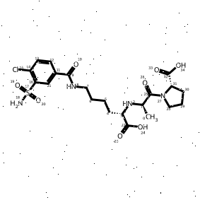 C[C@@H](N[C@@H](CCCCNC(=O)c1ccc(Cl)c(S(N)(=O)=O)c1)C(=O)O)C(=O)N1CCC[C@H]1C(=O)O